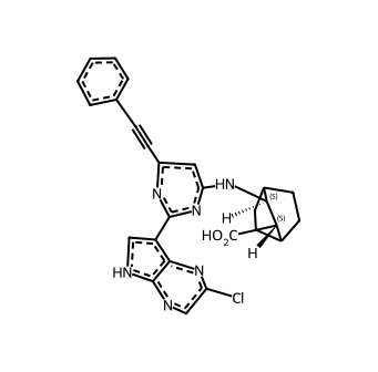 O=C(O)[C@H]1C2CCC(CC2)[C@@H]1Nc1cc(C#Cc2ccccc2)nc(-c2c[nH]c3ncc(Cl)nc23)n1